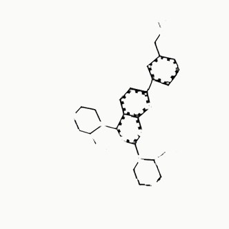 CNCc1cccc(-c2ccc3c(N4CCOC[C@@H]4C)nc(N4CCOC[C@@H]4C)nc3n2)c1